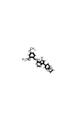 COc1ccc(CNc2ncnc3c(C4=CCC5(CC4)OCCO5)c[nH]c23)c(OC)c1